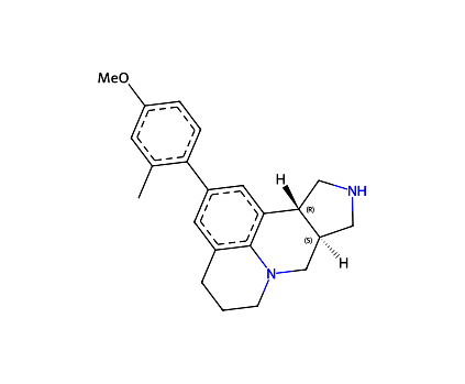 COc1ccc(-c2cc3c4c(c2)[C@@H]2CNC[C@H]2CN4CCC3)c(C)c1